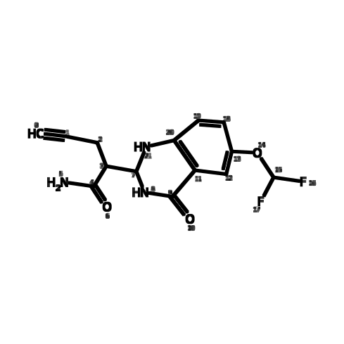 C#CCC(C(N)=O)C1NC(=O)c2cc(OC(F)F)ccc2N1